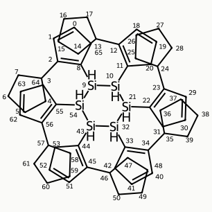 C1=CC(C2CCCC2)=C([SiH]2[SiH](C3=C(C4CCCC4)C=CC3)[SiH](C3=C(C4CCCC4)C=CC3)[SiH](C3=C(C4CCCC4)C=CC3)[SiH](C3=C(C4CCCC4)C=CC3)[SiH]2C2=C(C3CCCC3)C=CC2)C1